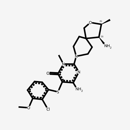 COc1cccc(Sc2c(N)nc(N3CCC4(CC3)CO[C@@H](C)[C@H]4N)n(C)c2=O)c1Cl